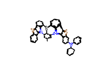 Cc1cc2c3c(c1)-n1c4c(cccc4c4sc5cc(N(c6ccccc6)C6C=CC=CC6)ccc5c41)B3c1cccc3c4sc5ccccc5c4n-2c13